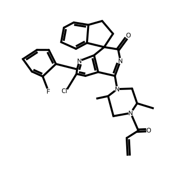 C=CC(=O)N1CC(C)N(C2=NC(=O)C3(CCc4ccccc43)c3nc(-c4ccccc4F)c(Cl)cc32)CC1C